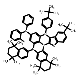 CC(C)(C)c1ccc(N2c3cc(N(c4ccccc4)c4ccccc4F)cc4c3B(c3cc5c(cc3N4c3ccc4c(c3)C(C)(C)CCC4(C)C)C(C)(C)CCC5(C)C)c3sc4ccc(C(C)(C)C)cc4c32)cc1